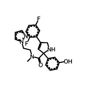 CN(CCn1cccn1)C(=O)C1(c2cccc(O)c2)C=C(c2cc(F)ccc2F)CN1